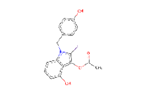 CC(=O)Oc1c(I)n(Cc2ccc(O)cc2)c2cccc(O)c12